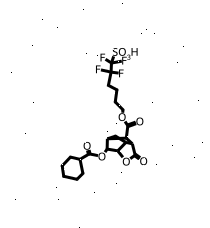 O=C(OC1C2CC3C1OC(=O)C3C2C(=O)OCCCCC(F)(F)C(F)(F)S(=O)(=O)O)C1CCCCC1